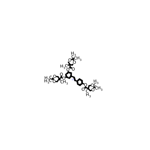 CC1(C)OCC(C)(C(=O)Oc2ccc(/C=C/c3cc(OC(=O)C4(C)COC(C)(C)OC4)cc(OC(=O)C4(C)COC(C)(C)OC4)c3)cc2)CO1